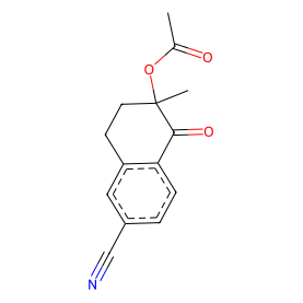 CC(=O)OC1(C)CCc2cc(C#N)ccc2C1=O